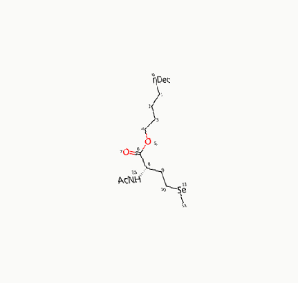 CCCCCCCCCCCCCCOC(=O)[C@H](CC[Se]C)NC(C)=O